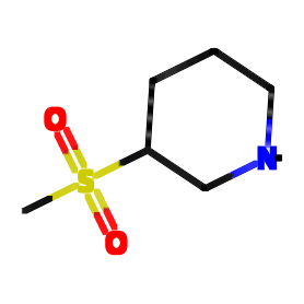 CS(=O)(=O)C1CCC[N]C1